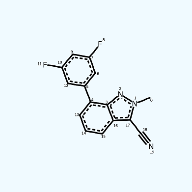 Cn1nc2c(-c3cc(F)cc(F)c3)cccc2c1C#N